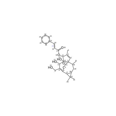 CC1=CC23C(=O)CC(=C(CO)C(O)C2(O)C1OC(=O)/C=C/c1ccccc1)C1C(CC3C)C1(C)C